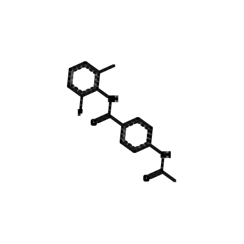 CC(=O)Nc1ccc(C(=O)Nc2c(C)cccc2F)cc1